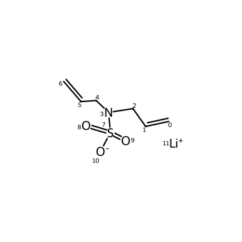 C=CCN(CC=C)S(=O)(=O)[O-].[Li+]